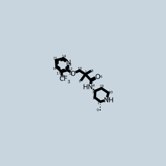 C[C@@H]1C[C@H](NC(=O)C(C)(C)COc2ncccc2C(F)(F)F)CCN1